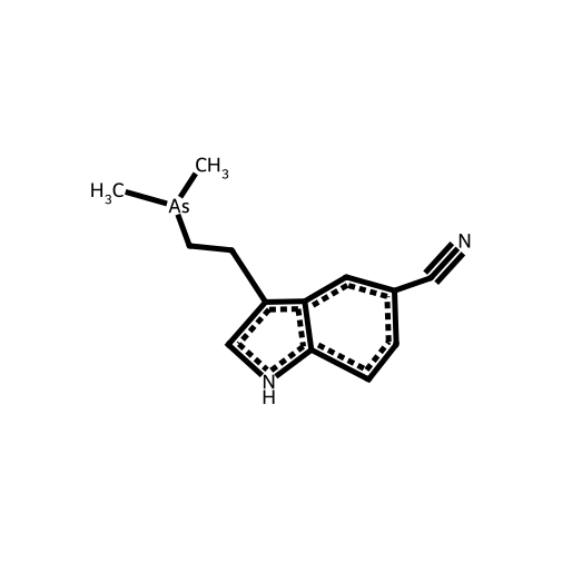 C[As](C)CCc1c[nH]c2ccc(C#N)cc12